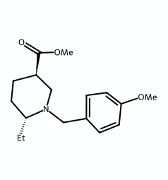 CC[C@@H]1CC[C@@H](C(=O)OC)CN1Cc1ccc(OC)cc1